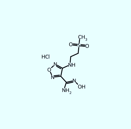 CS(=O)(=O)CCNc1nonc1C(N)=NO.Cl